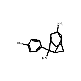 CC(C)(C)c1ccc(C2(N)C3CC4CC2CC(N)(C4)C3)cc1